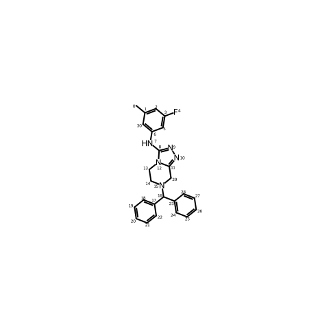 Cc1cc(F)cc(Nc2nnc3n2CCN(C(c2ccccc2)c2ccccc2)C3)c1